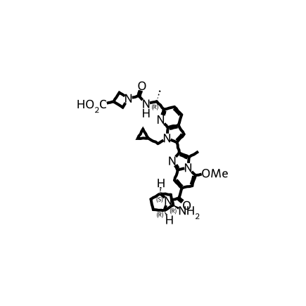 COc1cc(C(=O)N2[C@H]3CC[C@@H]2[C@H](N)C3)cc2nc(-c3cc4ccc([C@@H](C)NC(=O)N5CC(C(=O)O)C5)nc4n3CC3CC3)c(C)n12